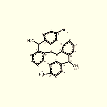 CC(c1ccc(N)cc1)c1ccccc1CCc1ccccc1C(C)c1ccc(N)cc1